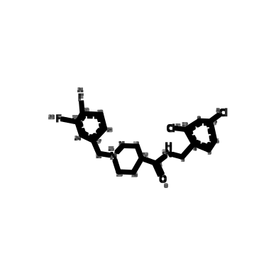 O=C(NCc1ccc(Cl)cc1Cl)C1CCN(Cc2ccc(F)c(F)c2)CC1